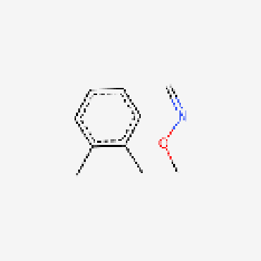 C=NOC.Cc1ccccc1C